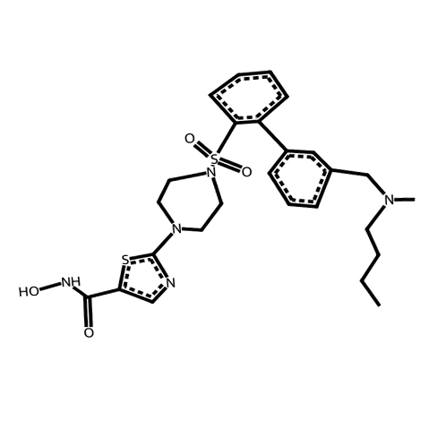 CCCCN(C)Cc1cccc(-c2ccccc2S(=O)(=O)N2CCN(c3ncc(C(=O)NO)s3)CC2)c1